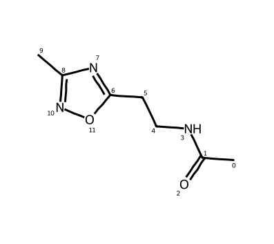 CC(=O)NCCc1nc(C)no1